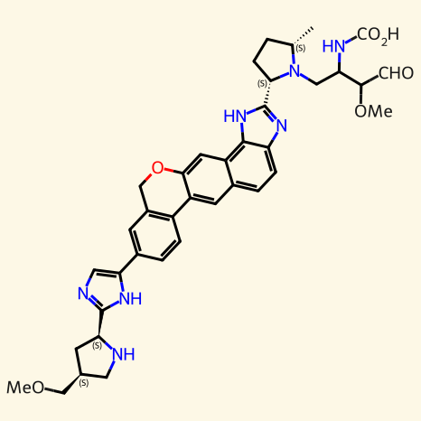 COC[C@@H]1CN[C@H](c2ncc(-c3ccc4c(c3)COc3cc5c(ccc6nc([C@@H]7CC[C@H](C)N7CC(NC(=O)O)C(C=O)OC)[nH]c65)cc3-4)[nH]2)C1